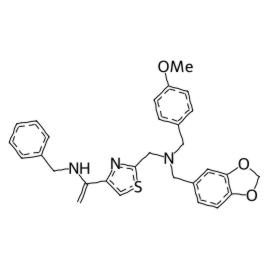 C=C(NCc1ccccc1)c1csc(CN(Cc2ccc(OC)cc2)Cc2ccc3c(c2)OCO3)n1